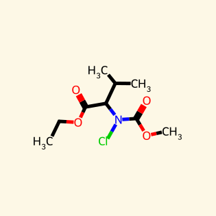 CCOC(=O)C(C(C)C)N(Cl)C(=O)OC